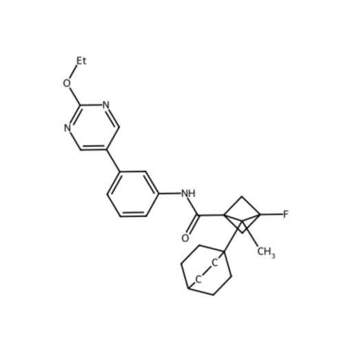 CCOc1ncc(-c2cccc(NC(=O)C34CC(F)(C3)C4(C)C34CCC(CC3)CC4)c2)cn1